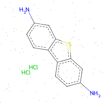 Cl.Cl.Nc1ccc2c(c1)sc1cc(N)ccc12